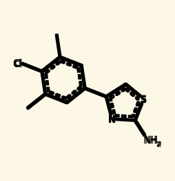 Cc1cc(-c2csc(N)n2)cc(C)c1Cl